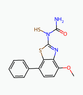 COc1ccc(-c2ccccc2)c2sc(N(S)C(N)=O)nc12